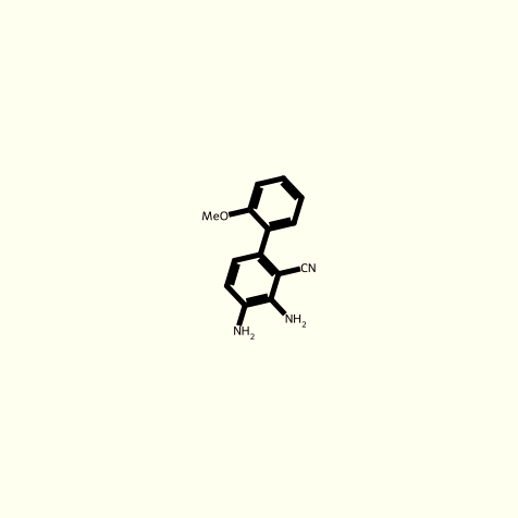 COc1ccccc1-c1ccc(N)c(N)c1C#N